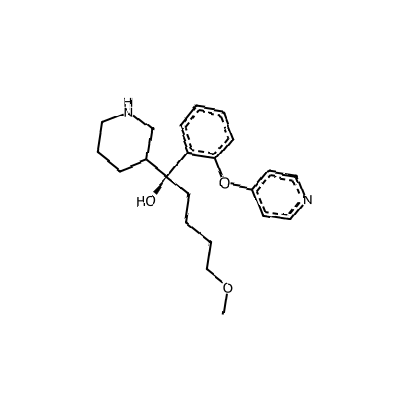 COCCCC[C@@](O)(c1ccccc1Oc1ccncc1)C1CCCNC1